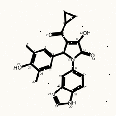 Cc1cc(C2C(C(=O)C3CC3)=C(O)C(=O)N2c2ccc3[nH]cnc3c2)cc(C)c1O